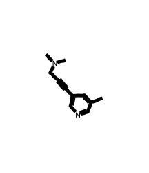 Cc1cncc(C#CCN(C)C)c1